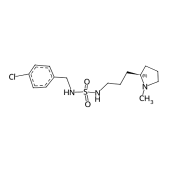 CN1CCC[C@@H]1CCCNS(=O)(=O)NCc1ccc(Cl)cc1